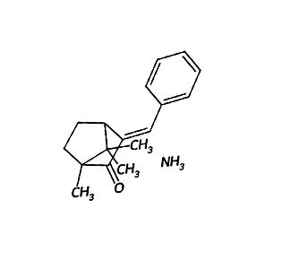 CC12CCC(C(=Cc3ccccc3)C1=O)C2(C)C.N